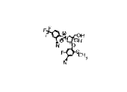 COc1cc(C#N)c(F)cc1O[C@H]1CN(S(=O)(=O)c2ccc(C(F)(F)F)cc2C#N)C[C@@]1(O)CO